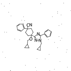 N#CC1(c2ccccc2)CCC(OCC2CC2)(c2nc(-c3ccccc3)n(CC3CC3)n2)CC1